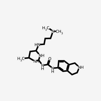 CC1CC(NCCCN(C)C)NC(NC(=O)Nc2ccc3c(c2)CCNC3)N1